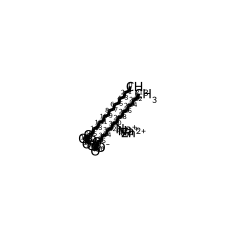 CCCCCCCCCCCCCCCCOP(=O)([O-])[O-].CCCCCCCCCCCCCCCCOP(=O)([O-])[O-].[Na+].[Na+].[Zn+2]